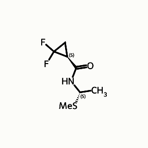 CS[C@@H](C)NC(=O)[C@@H]1CC1(F)F